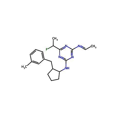 CC=Nc1nc(NC2CCCC2Cc2cccc(C)c2)nc(C(C)F)n1